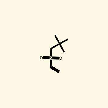 C=CS(=O)(=O)CC(C)(C)C